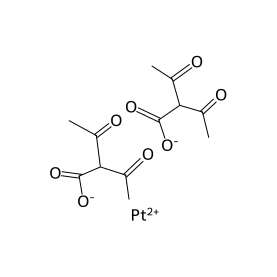 CC(=O)C(C(C)=O)C(=O)[O-].CC(=O)C(C(C)=O)C(=O)[O-].[Pt+2]